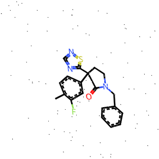 Cc1ccc(C2(c3ncns3)CCN(Cc3ccccc3)C2=O)cc1F